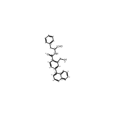 O=CC(Cc1ccccc1)NC(=O)c1ccc(-c2cccc3ccccc23)cc1CS